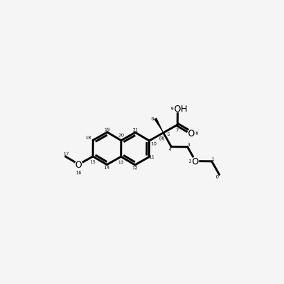 CCOCC[C@@](C)(C(=O)O)c1ccc2cc(OC)ccc2c1